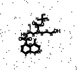 Cc1cncc2cccc(S(=O)(=O)N[C@H](C)CN(CCCO)C(=O)OC(C)(C)C)c12